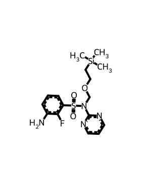 C[Si](C)(C)CCOCN(c1ncccn1)S(=O)(=O)c1cccc(N)c1F